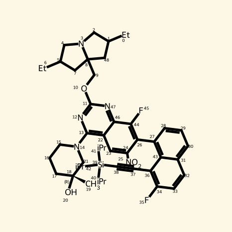 CCC1CN2CC(CC)CC2(COc2nc(N3CCC[C@@](C)(O)C3)c3cc([N+](=O)[O-])c(-c4cccc5ccc(F)c(C#C[Si](C(C)C)(C(C)C)C(C)C)c45)c(F)c3n2)C1